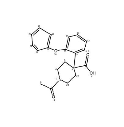 CC(=O)N1CCC(C(=O)O)(c2ccccc2Oc2ccccc2)CC1